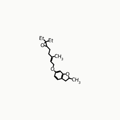 CCC1(CC)OC1CC/C(C)=C/COc1ccc2c(c1)OC(C)C2